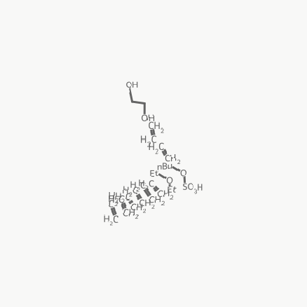 C=C.C=C.C=C.C=C.C=C.C=C.C=C.C=C.CCCCOS(=O)(=O)O.CCOCC.OCCO